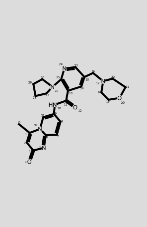 Cc1cc(=O)nc2ccc(NC(=O)c3cc(CN4CCOCC4)cnc3N3CCCC3)cn12